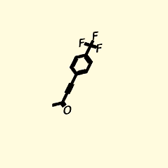 CC(=O)C#Cc1ccc(C(F)(F)F)cc1